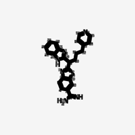 N=C(N)c1ccc2nc(C(CCCc3ccncc3)c3nc4ccccc4[nH]3)sc2c1